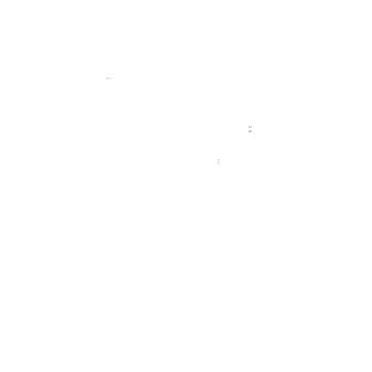 CC(=O)[O-].CCCCCCCCCCCCCCCC[N+](C)(CCl)CCCCCCCCCCCCCCCC